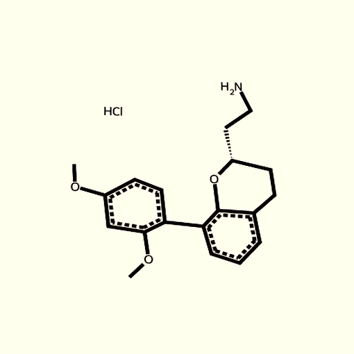 COc1ccc(-c2cccc3c2O[C@H](CCN)CC3)c(OC)c1.Cl